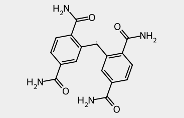 NC(=O)c1ccc(C(N)=O)c([CH]c2cc(C(N)=O)ccc2C(N)=O)c1